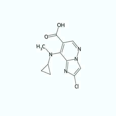 CN(c1c(C(=O)O)cnn2cc(Cl)nc12)C1CC1